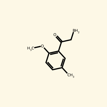 BCC(=O)c1cc(C)ccc1OC